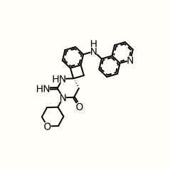 N=C1N[C@]2(CC(=O)N1C1CCOCC1)Cc1c(Nc3cccc4ncccc34)cccc12